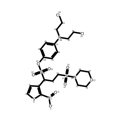 O=[N+]([O-])c1sccc1C(CCS(=O)(=O)N1CCOCC1)S(=O)(=O)Oc1ccc(N(CCCl)CCCl)cc1